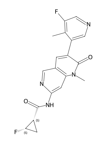 Cc1c(F)cncc1-c1cc2cnc(NC(=O)[C@@H]3C[C@@H]3F)cc2n(C)c1=O